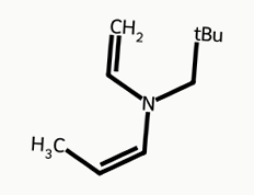 C=CN(/C=C\C)CC(C)(C)C